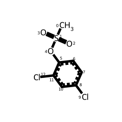 CS(=O)(=O)Oc1c[c]c(Cl)cc1Cl